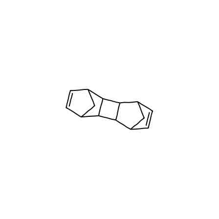 C1=CC2CC1C1C2C2C3C=CC(C3)C12